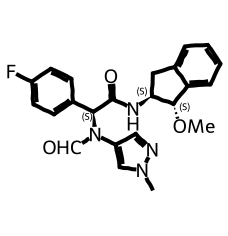 CO[C@H]1c2ccccc2C[C@@H]1NC(=O)[C@H](c1ccc(F)cc1)N(C=O)c1cnn(C)c1